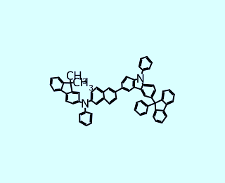 CC1(C)c2ccccc2-c2ccc(N(c3ccccc3)c3ccc4cc(-c5ccc6c(c5)c5cc(C7(c8ccccc8)c8ccccc8-c8ccccc87)ccc5n6-c5ccccc5)ccc4c3)cc21